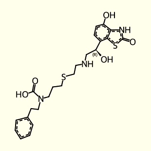 O=C(O)N(CCCSCCNC[C@H](O)c1ccc(O)c2[nH]c(=O)sc12)CCc1ccccc1